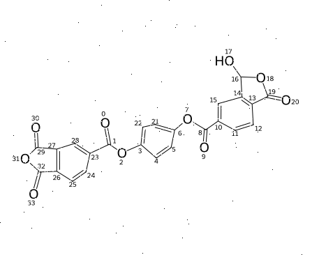 O=C(Oc1ccc(OC(=O)c2ccc3c(c2)C(O)OC3=O)cc1)c1ccc2c(c1)C(=O)OC2=O